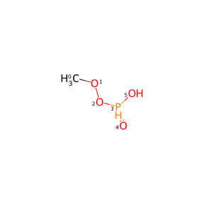 COO[PH](=O)O